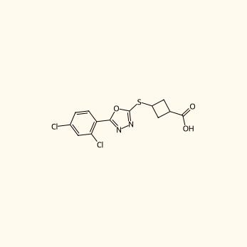 O=C(O)C1CC(Sc2nnc(-c3ccc(Cl)cc3Cl)o2)C1